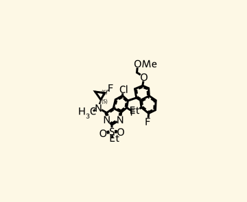 CCc1c(F)ccc2cc(OCOC)cc(-c3c(Cl)cc4c(N(C)[C@H]5C[C@@H]5F)nc(S(=O)(=O)CC)nc4c3F)c12